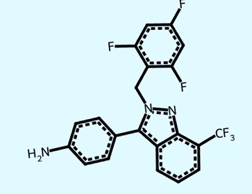 Nc1ccc(-c2c3cccc(C(F)(F)F)c3nn2Cc2c(F)cc(F)cc2F)cc1